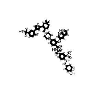 CC1(C)CCC(CN2CCN(c3ccc(C(=O)NS(=O)(=O)c4ccc(NC[C@H]5CC[C@](C)(O)CC5)c([N+](=O)[O-])c4)c(Oc4cnc5[nH]ccc5c4)c3)CC2)=C(c2cc(-c3cc(C(C)(C)O)ccc3F)cs2)C1